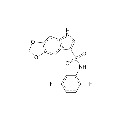 O=S(=O)(Nc1cc(F)ccc1F)c1c[nH]c2cc3c(cc12)OCO3